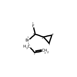 C=CC.FC(Br)C1CC1